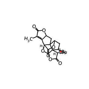 CC1=C2C(CC34C5C[C@@H](C(C)(C)C)C36C(OC(=O)[C@@H]6O)O[C@@]24C(=O)O5)OC1=O